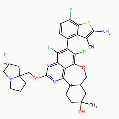 CC1(O)CCN2c3nc(OCC45CCCN4C[C@H](F)C5)nc4c(F)c(-c5ccc(F)c6sc(N)c(C#N)c56)c(Cl)c(c34)OCC2C1